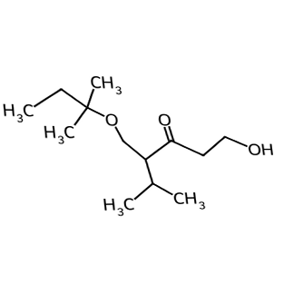 CCC(C)(C)OCC(C(=O)CCO)C(C)C